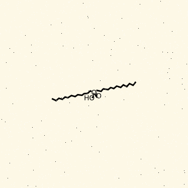 CCCCCCCCCCCCCOCCCCCCCCCCCCC.O=NO